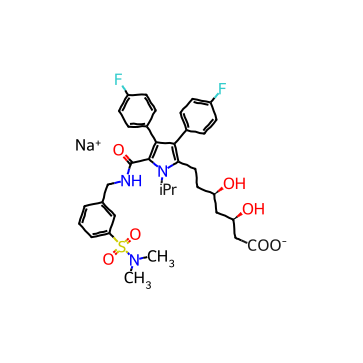 CC(C)n1c(CC[C@@H](O)C[C@@H](O)CC(=O)[O-])c(-c2ccc(F)cc2)c(-c2ccc(F)cc2)c1C(=O)NCc1cccc(S(=O)(=O)N(C)C)c1.[Na+]